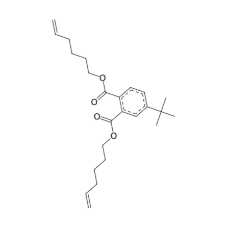 C=CCCCCOC(=O)c1ccc(C(C)(C)C)cc1C(=O)OCCCCC=C